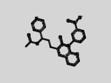 CC(=O)OC(CCc1cc2cccnc2n(-c2cccc([N+](=O)[O-])c2)c1=O)c1ccncc1